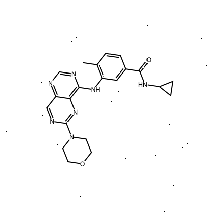 Cc1ccc(C(=O)NC2CC2)cc1Nc1ncnc2cnc(N3CCOCC3)nc12